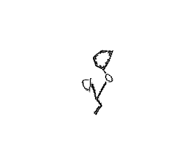 C=CC(Cl)Oc1ccccc1